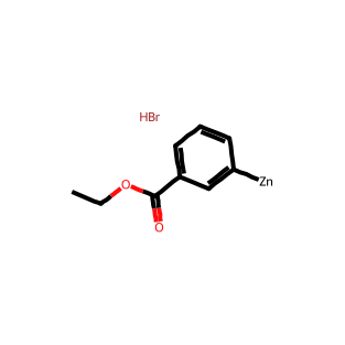 Br.CCOC(=O)c1ccc[c]([Zn])c1